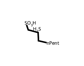 CCCCCCCCS(=O)(=O)O.S